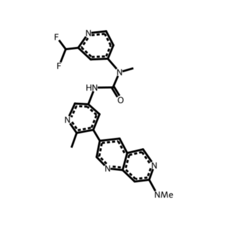 CNc1cc2ncc(-c3cc(NC(=O)N(C)c4ccnc(C(F)F)c4)cnc3C)cc2cn1